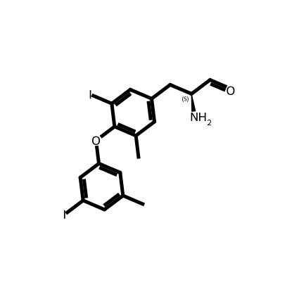 Cc1cc(I)cc(Oc2c(C)cc(C[C@H](N)C=O)cc2I)c1